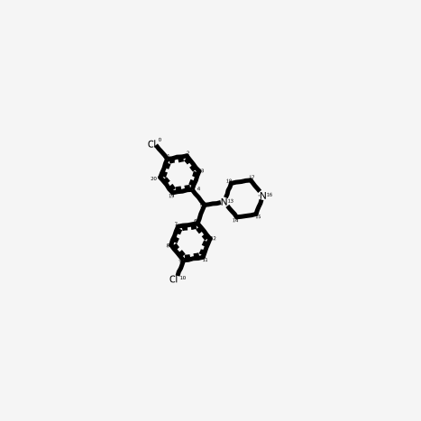 Clc1ccc(C(c2ccc(Cl)cc2)N2CC[N]CC2)cc1